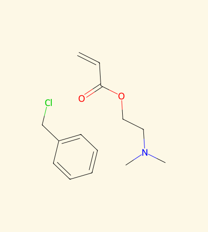 C=CC(=O)OCCN(C)C.ClCc1ccccc1